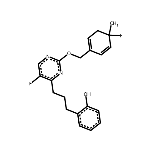 CC1(F)C=CC(COc2ncc(F)c(CCCc3ccccc3O)n2)=CC1